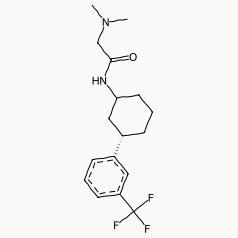 CN(C)CC(=O)NC1CCC[C@H](c2cccc(C(F)(F)F)c2)C1